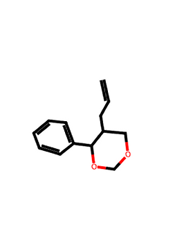 C=CCC1COCOC1c1ccccc1